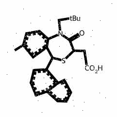 Cc1ccc2c(c1)C(c1cccc3ccccc13)SC(CC(=O)O)C(=O)N2CC(C)(C)C